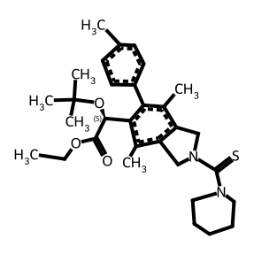 CCOC(=O)[C@@H](OC(C)(C)C)c1c(C)c2c(c(C)c1-c1ccc(C)cc1)CN(C(=S)N1CCCCC1)C2